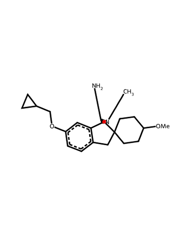 COC1CCC2(CC1)Cc1ccc(OCC3CC3)cc1C21N=C(N)N(C)O1